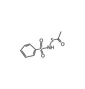 CC(=O)SNS(=O)(=O)c1ccccc1